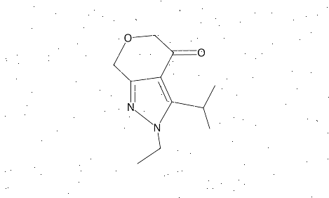 CCn1nc2c(c1C(C)C)C(=O)COC2